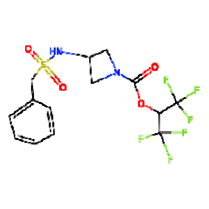 O=C(OC(C(F)(F)F)C(F)(F)F)N1CC(NS(=O)(=O)Cc2ccccc2)C1